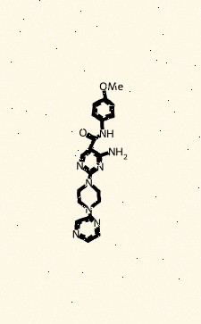 COc1ccc(NC(=O)c2cnc(N3CCN(c4cnccn4)CC3)nc2N)cc1